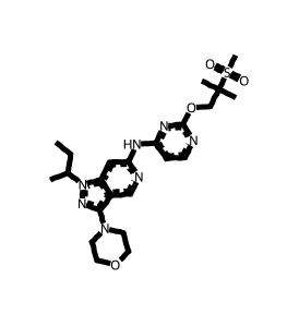 CCC(C)n1nc(N2CCOCC2)c2cnc(Nc3ccnc(OCC(C)(C)S(C)(=O)=O)n3)cc21